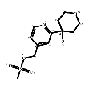 CS(=O)(=O)OCc1ccnc(C2(O)CCOCC2)c1